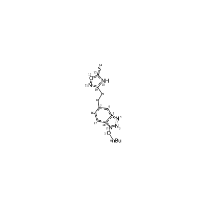 CCCCOn1nnc2cc(CCc3noc(=S)[nH]3)ccc21